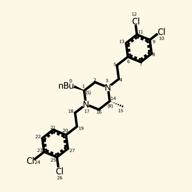 CCCC[C@H]1CN(CCc2ccc(Cl)c(Cl)c2)[C@H](C)CN1CCc1ccc(Cl)c(Cl)c1